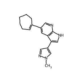 Cn1cc(-c2c[nH]c3ncc(C4=CCCCCC4)cc23)cn1